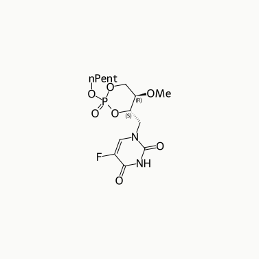 CCCCCOP1(=O)OC[C@@H](OC)[C@H](Cn2cc(F)c(=O)[nH]c2=O)O1